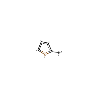 [Hf][c]1cccs1